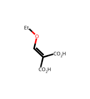 CCOC=C(C(=O)O)C(=O)O